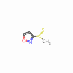 CS(=S)c1ccon1